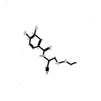 CCOOCC(C#N)NC(=O)c1ccc(Cl)c(Cl)c1